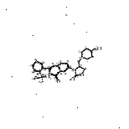 O=C1OCC(CN2CCC(O)CC2)N1c1ccc2cc(-c3ccccc3C(F)(F)F)[nH]c(=O)c2c1